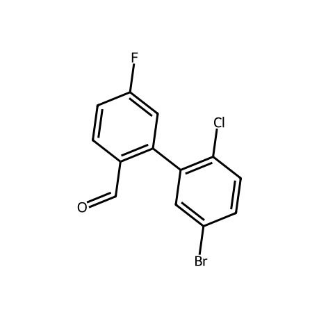 O=Cc1ccc(F)cc1-c1cc(Br)ccc1Cl